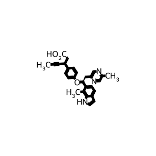 CC#CC(CC(=O)O)c1ccc(O[C@@H](Cc2cnc(C)cn2)c2ccc3cc[nH]c3c2C)cc1